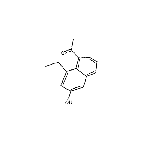 CCc1cc(O)cc2cccc(C(C)=O)c12